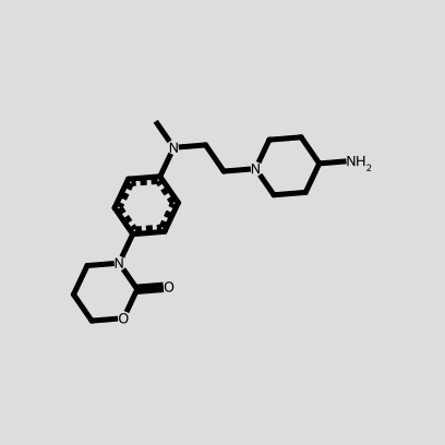 CN(CCN1CCC(N)CC1)c1ccc(N2CCCOC2=O)cc1